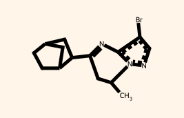 CC1CC(C2CC3CCC2C3)=Nc2c(Br)cnn21